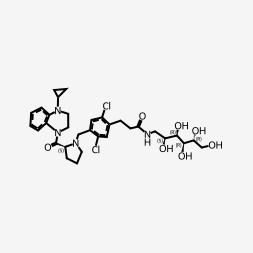 O=C(CCc1cc(Cl)c(CN2CCC[C@H]2C(=O)N2CCN(C3CC3)c3ccccc32)cc1Cl)NC[C@H](O)[C@@H](O)[C@H](O)[C@H](O)CO